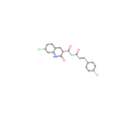 O=C(C=Cc1ccc(Cl)cc1)CC(=O)c1cc2ccc(Cl)cc2[nH]c1=O